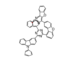 c1ccc(-c2nc(-c3ccc4c(c3)c3ccccc3n4-c3ccccc3)nc(-c3cccc4oc5ccc(-c6nc(-c7ccccc7)nc7c6oc6ccccc67)cc5c34)n2)cc1